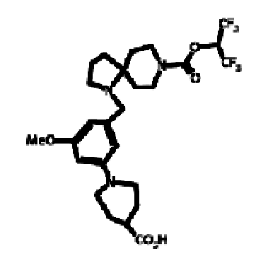 COc1cc(CN2CCCC23CCN(C(=O)OC(C(F)(F)F)C(F)(F)F)CC3)cc(N2CCC(C(=O)O)CC2)c1